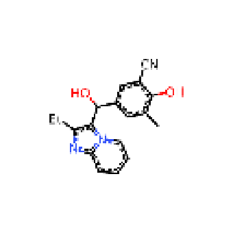 CCc1nc2ccccn2c1C(O)c1cc(C)c(O)c(C#N)c1